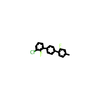 Cc1ccc(-c2ccc(-c3cccc(Cl)c3F)cc2)c(F)c1